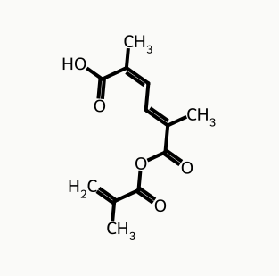 C=C(C)C(=O)OC(=O)C(C)=CC=C(C)C(=O)O